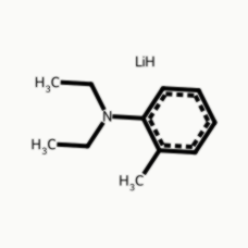 CCN(CC)c1ccccc1C.[LiH]